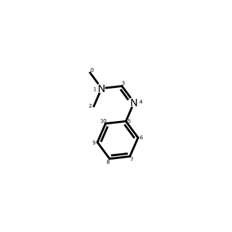 CN(C)/C=N\c1ccccc1